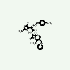 Cc1ccc(CO/N=C(\C(=O)N[C@@H]2C(=O)N3C(C(=O)O)=C(C[n+]4ccccc4)CS[C@H]23)c2nc(N)sc2Cl)cc1